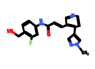 Cn1cc(-c2ccncc2C=CC(=O)Nc2ccc(CO)c(F)c2)cn1